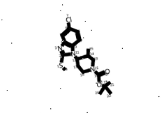 CSc1nc2cc(Cl)ccc2n1C1CCN(C(=O)OC(C)(C)C)CC1C